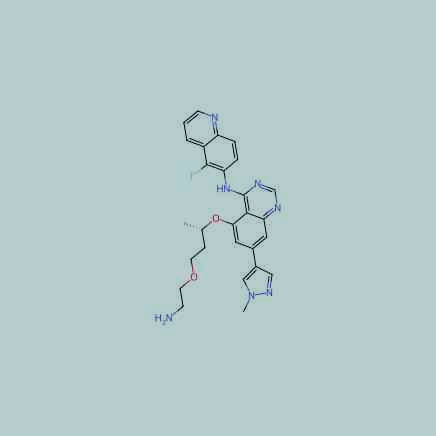 C[C@@H](CCOCCN)Oc1cc(-c2cnn(C)c2)cc2ncnc(Nc3ccc4ncccc4c3F)c12